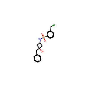 O=S(=O)(NC1CC(O)(Cc2ccccc2)C1)c1cccc(CBr)c1